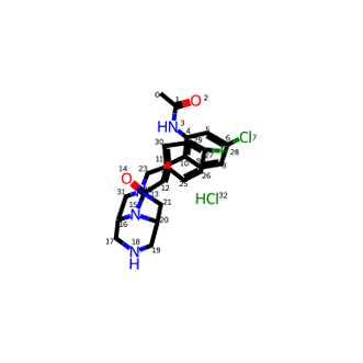 CC(=O)Nc1cc(Cl)ccc1C=CC(=O)N1C2CNCC1CN(Cc1ccc(F)cc1)C2.Cl